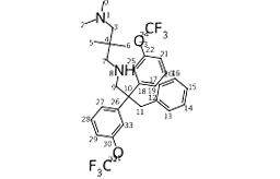 CN(C)CC(C)(C)CNCC(Cc1ccccc1)(c1cccc(OC(F)(F)F)c1)c1cccc(OC(F)(F)F)c1